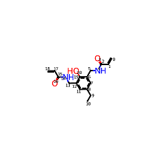 C=CC(=O)NCc1cc(CC)cc(CNC(=O)C=C)c1O